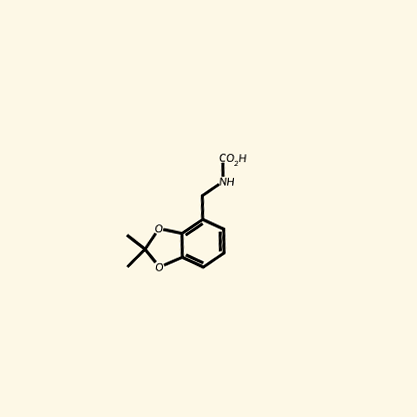 CC1(C)Oc2cccc(CNC(=O)O)c2O1